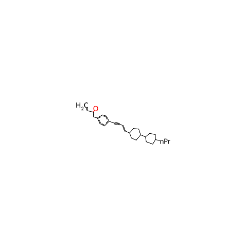 C=CC(=O)Cc1ccc(C#CC=CC2CCC(C3CCC(CCC)CC3)CC2)cc1